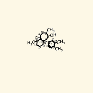 Cc1c#cc([C@H]2[C@@H](O)[C@H](C)CC=C3C(C)(C)CCC[C@@]32C)cc1C